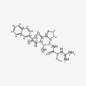 CCC(NC(=N)N)C(=O)NCC1CCCN1C(=O)C(CO)NS(=O)(=O)c1ccc2ccccc2c1